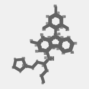 CCCC(CCN1CCCC1)Nc1nc(C)nc2c1c1ccccc1n2-c1c(C)cc(C)cc1C